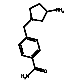 NC(=O)c1ccc(CN2CCC(N)C2)cc1